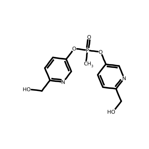 CP(=O)(Oc1ccc(CO)nc1)Oc1ccc(CO)nc1